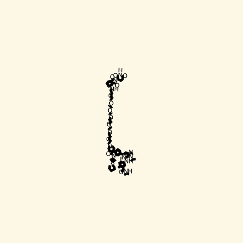 Cc1cc(F)c(Nc2nc(-c3ccc4c(c3)N(C3CC(N5CCCCC5)C3)C(=O)C43CCN(CCOCCOCCOCCOCCOCCOCCOCCNc4cccc5c4C(=O)N(C4CCC(=O)NC4=O)C5=O)CC3)cc3ncn(C(C)C)c23)cc1C(=O)NC(C)C